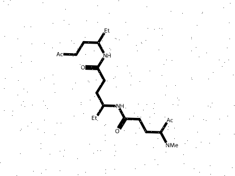 CCC(CCC(C)=O)NC(=O)CCC(CC)NC(=O)CCC(NC)C(C)=O